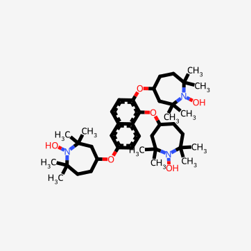 CC1(C)CCC(Oc2ccc3c(OC4CCC(C)(C)N(O)C(C)(C)C4)c(OC4CCC(C)(C)N(O)C(C)(C)C4)ccc3c2)CC(C)(C)N1O